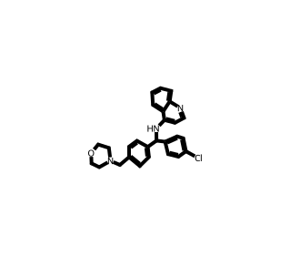 Clc1ccc(C(Nc2ccnc3ccccc23)c2ccc(CN3CCOCC3)cc2)cc1